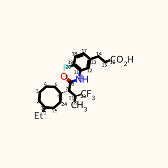 CCC1CCCCC([C@H](C(=O)Nc2cc(CCC(=O)O)ccc2F)[C@H](C)C(F)(F)F)CC1